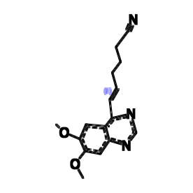 COc1cc2ncnc(/C=C/CCCC#N)c2cc1OC